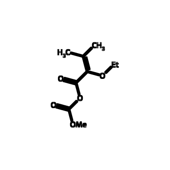 CCOC(C(=O)OC(=O)OC)=C(C)C